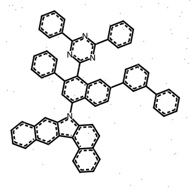 c1ccc(-c2cccc(-c3ccc4c(-n5c6cc7ccccc7cc6c6c7ccccc7ccc65)cc(-c5ccccc5)c(-c5nc(-c6ccccc6)nc(-c6ccccc6)n5)c4c3)c2)cc1